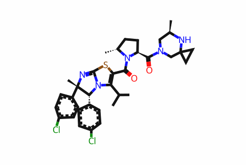 CC(C)C1=C(C(=O)N2[C@H](C)CC[C@H]2C(=O)N2C[C@@H](C)NC3(CC3)C2)SC2=N[C@@](C)(c3ccc(Cl)cc3)[C@@H](c3ccc(Cl)cc3)N21